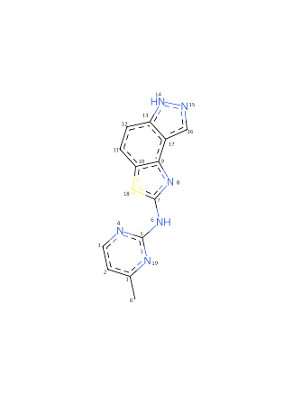 Cc1ccnc(Nc2nc3c(ccc4[nH]ncc43)s2)n1